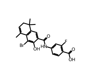 CC1=CCC(C)(C)c2cc(C(=O)Nc3ccc(C(=O)O)c(F)c3)c(O)c(Br)c21